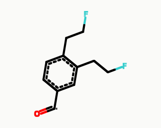 O=[C]c1ccc(CCF)c(CCF)c1